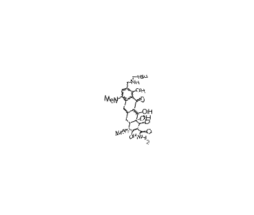 CNc1cc(CNCC(C)(C)C)c(O)c2c1CC1CC3[C@H](NC)C(O)=C(C(N)=O)C(=O)C3(O)C(O)=C1C2=O